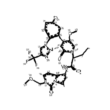 CCC(C(=O)Nc1ccn2c(=O)n(COC)ccc12)n1cc(OC)c(-c2cc(Cl)ccc2-n2cc(C(F)(F)F)nn2)cc1=O